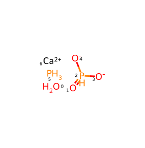 O.O=[PH]([O-])[O-].P.[Ca+2]